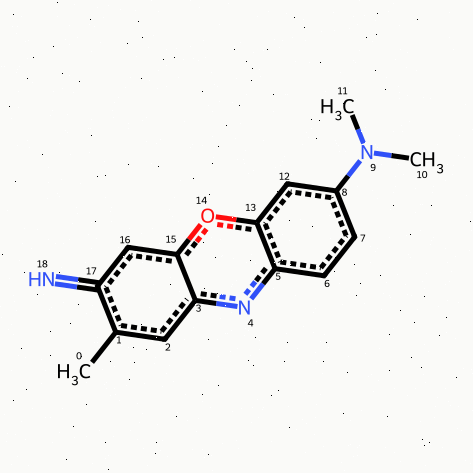 Cc1cc2nc3ccc(N(C)C)cc3oc-2cc1=N